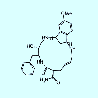 COc1ccc2c(c1)[C@@H]1C[C@H]2NC/C=C/C[C@@H](C(N)=O)C(=O)N[C@@H](Cc2ccccc2)[C@H](O)CN1